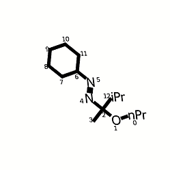 CCCOC(C)(N=NC1CCCCC1)C(C)C